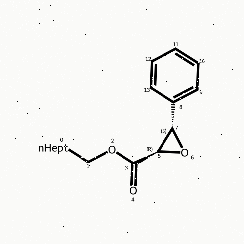 CCCCCCCCOC(=O)[C@@H]1O[C@H]1c1ccccc1